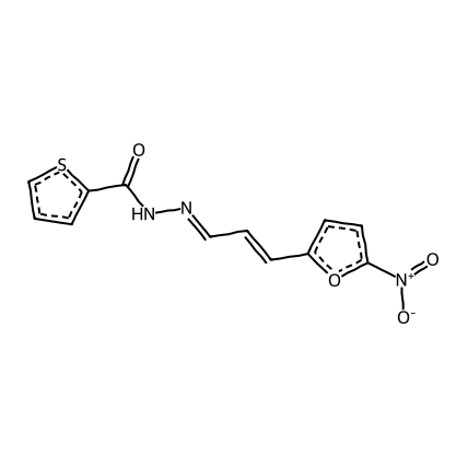 O=C(NN=CC=Cc1ccc([N+](=O)[O-])o1)c1cccs1